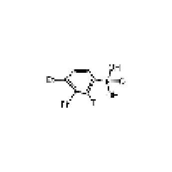 CCc1ccc(P(=O)(O)O)c(F)c1CC